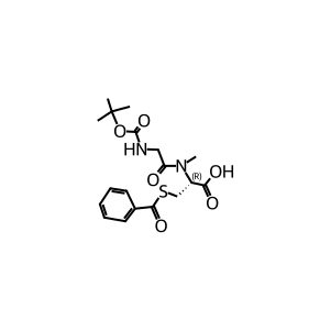 CN(C(=O)CNC(=O)OC(C)(C)C)[C@@H](CSC(=O)c1ccccc1)C(=O)O